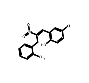 Cc1ccccc1CC(=Cc1cc(Cl)ccc1O)[N+](=O)[O-]